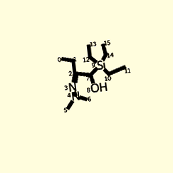 CCC(=NN(C)C)C(O)[Si](CC)(CC)CC